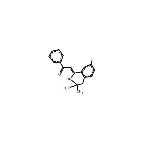 CC1(C)Cc2ccc(F)cc2C(=CC(=O)c2ccccc2)N1